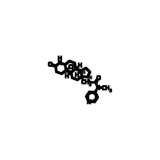 CN(C(=O)C[C@H]1CC[C@H]2[C@@H]3CCC4NC(=O)CC[C@]4(C)[C@H]3CC[C@]12C)c1ccncc1